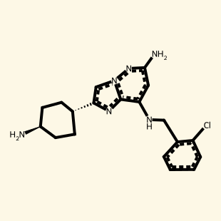 Nc1cc(NCc2ccccc2Cl)c2nc([C@H]3CC[C@H](N)CC3)cn2n1